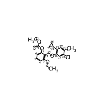 CCOc1cccc(OC(=O)OC)c1COc1cc(Cl)c(C)cc1C1CC1